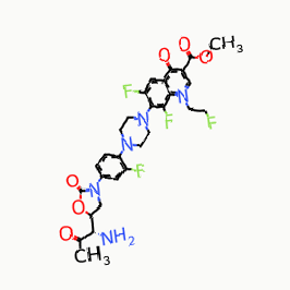 COC(=O)c1cn(CCF)c2c(F)c(N3CCN(c4ccc(N5CC([C@H](N)C(C)=O)OC5=O)cc4F)CC3)c(F)cc2c1=O